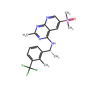 Cc1nc(N[C@H](C)c2cccc(C(F)(F)F)c2C)c2cc(P(C)(C)=O)cnc2n1